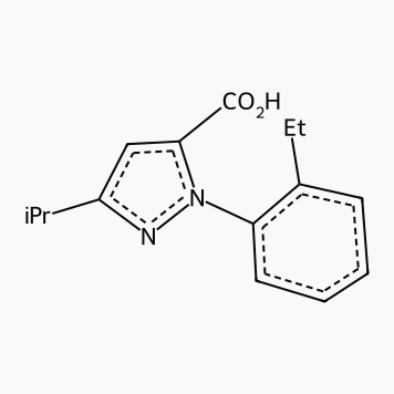 CCc1ccccc1-n1nc(C(C)C)cc1C(=O)O